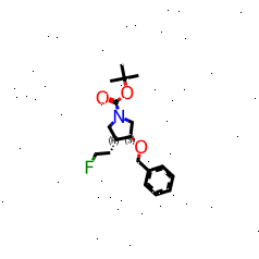 CC(C)(C)OC(=O)N1C[C@@H](CCF)[C@H](OCc2ccccc2)C1